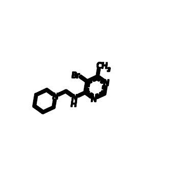 Cc1ncnc(NCN2CCCCC2)c1Br